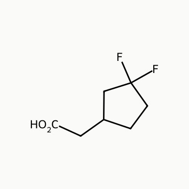 O=C(O)CC1CCC(F)(F)C1